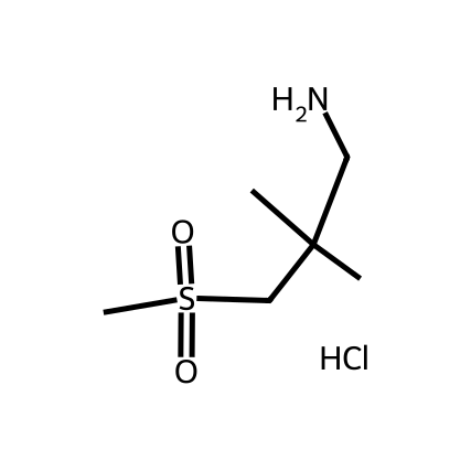 CC(C)(CN)CS(C)(=O)=O.Cl